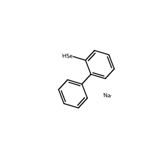 [Na].[SeH]c1ccccc1-c1ccccc1